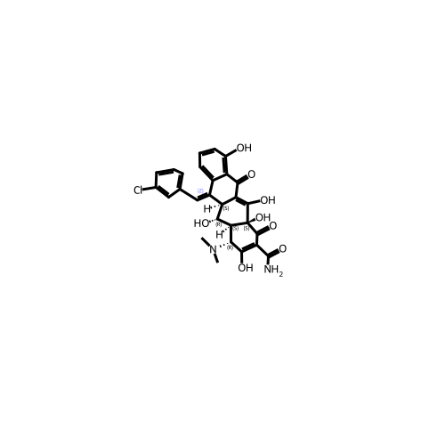 CN(C)[C@H]1C(O)=C(C(N)=O)C(=O)[C@@]2(O)C(O)=C3C(=O)c4c(O)cccc4/C(=C\c4cccc(Cl)c4)[C@@H]3[C@@H](O)[C@H]12